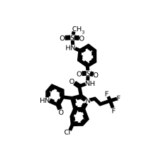 CS(=O)(=O)Nc1cccc(S(=O)(=O)NC(=O)c2c(-c3ccc[nH]c3=O)c3cc(Cl)ccc3n2CCC(F)(F)F)c1